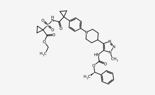 CCOC(=O)C1(S(=O)(=O)NC(=O)C2(c3ccc(N4CCC(c5nnn(C)c5NC(=O)O[C@H](C)c5ccccc5)CC4)cc3)CC2)CC1